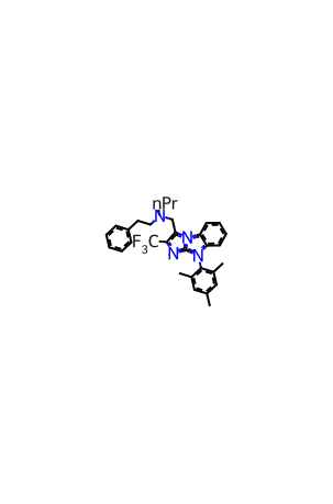 CCCN(CCc1ccccc1)Cc1c(C(F)(F)F)nc2n(-c3c(C)cc(C)cc3C)c3ccccc3n12